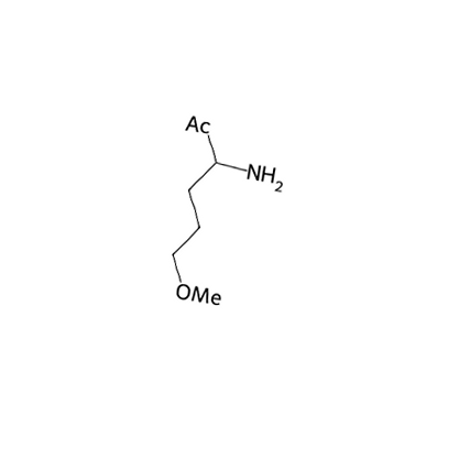 COCCCC(N)C(C)=O